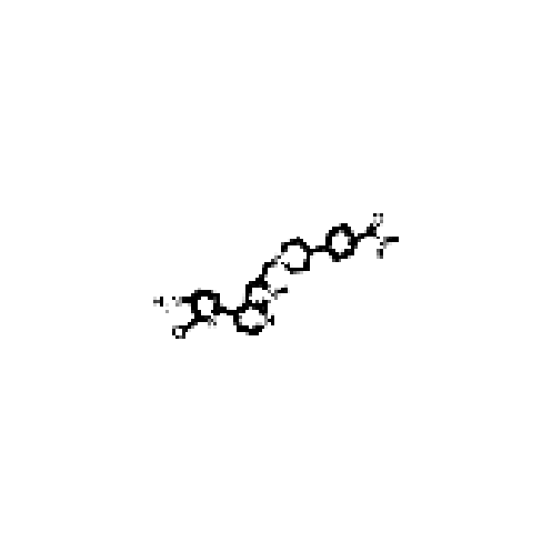 CN(C)C(=O)c1ccc(C2CCN(Cc3cc4c(-c5ccc(N)c(Cl)n5)ccnc4n3C)CC2)cc1